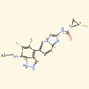 N#CCNc1c(F)c(Cl)c(-c2ccc3nc(NC(=O)[C@@H]4C[C@@H]4F)cn3c2)c2cn[nH]c12